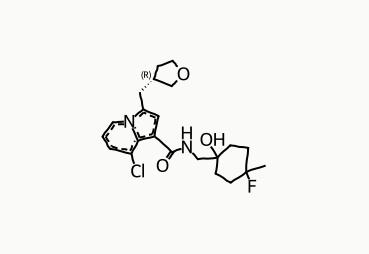 CC1(F)CCC(O)(CNC(=O)c2cc(C[C@@H]3CCOC3)n3cccc(Cl)c23)CC1